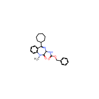 CN1C(=O)C(NC(=O)OCc2ccccc2)N=C(C2CCCCCC2)c2ccccc21